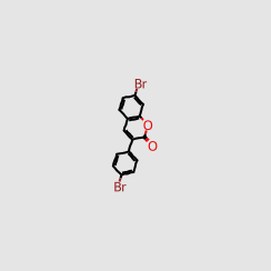 O=c1oc2cc(Br)ccc2cc1-c1ccc(Br)cc1